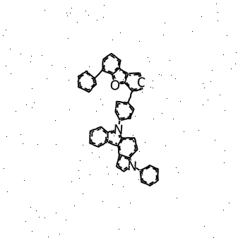 c1ccc(-c2cccc3c2oc2c(-c4ccc(-n5c6ccccc6c6c7ccn(-c8ccccc8)c7ccc65)cc4)cccc23)cc1